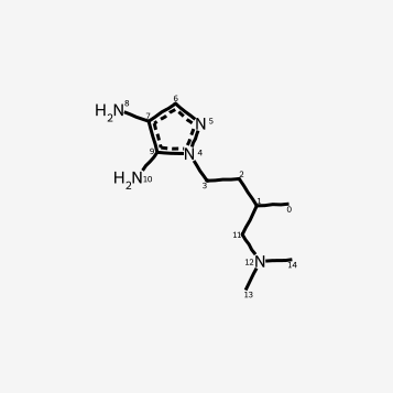 CC(CCn1ncc(N)c1N)CN(C)C